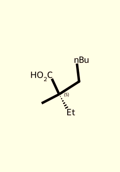 CCCCC[C@](C)(CC)C(=O)O